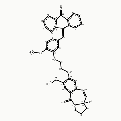 COc1ccc(C=C2c3ccccc3C(=O)c3ccccc32)cc1OCCOc1cc2c(cc1OC)C(=O)N1CCC[C@H]1C=N2